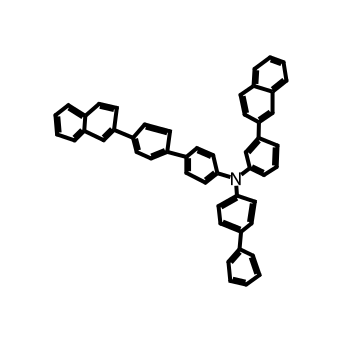 c1ccc(-c2ccc(N(c3ccc(-c4ccc(-c5ccc6ccccc6c5)cc4)cc3)c3cccc(-c4ccc5ccccc5c4)c3)cc2)cc1